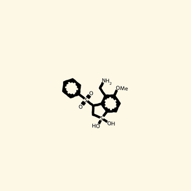 COc1ccc2c(c1CN)C(S(=O)(=O)c1ccccc1)CS2(O)O